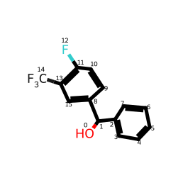 OC(c1ccccc1)c1ccc(F)c(C(F)(F)F)c1